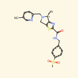 CC(C)[C@H]1c2nc(C(=O)NCc3ccc(S(C)(=O)=O)cc3)sc2CN1Cc1ccc(C#N)cn1